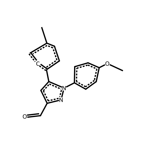 COc1ccc(-n2nc(C=O)cc2-c2ccc(C)cc2)cc1